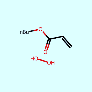 C=CC(=O)OCCCC.OO